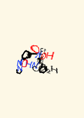 CCN(C[C@@H](O)[C@H](Cc1ccccc1)NC(=O)O)C(=O)c1ccc2nc(N3CCCC3)oc2c1